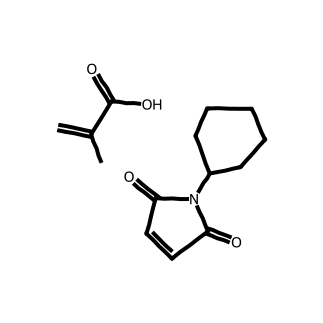 C=C(C)C(=O)O.O=C1C=CC(=O)N1C1CCCCC1